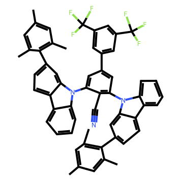 Cc1cc(C)c(-c2ccc3c4ccccc4n(-c4cc(-c5cc(C(F)(F)F)cc(C(F)(F)F)c5)cc(-n5c6ccccc6c6ccc(-c7c(C)cc(C)cc7C)cc65)c4C#N)c3c2)c(C)c1